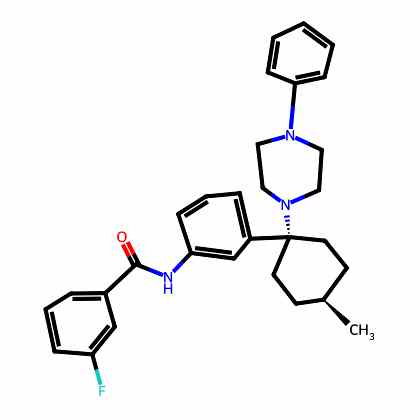 C[C@H]1CC[C@](c2cccc(NC(=O)c3cccc(F)c3)c2)(N2CCN(c3ccccc3)CC2)CC1